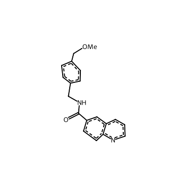 COCc1ccc(CNC(=O)c2ccc3ncccc3c2)cc1